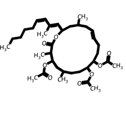 CCCCC/C=C\C(C)=C\C1CC(C)C/C=C/CCC(OC(C)=O)C(OC(C)=O)CCC(C)CC(OC(C)=O)C(C)C(=O)O1